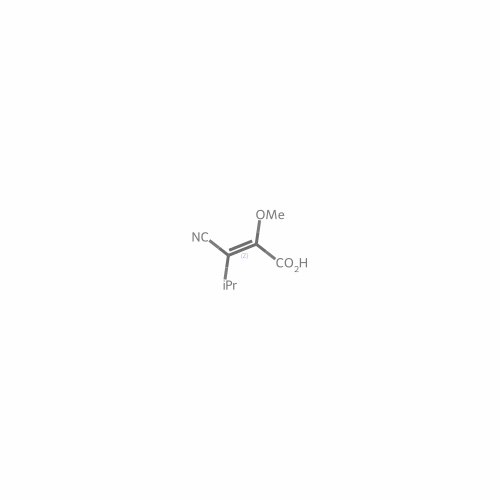 CO/C(C(=O)O)=C(\C#N)C(C)C